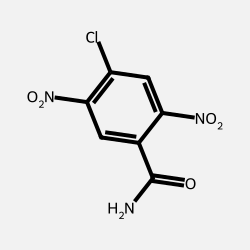 NC(=O)c1cc([N+](=O)[O-])c(Cl)cc1[N+](=O)[O-]